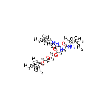 CC(C)(C)CCNC(=O)CN(CCOCCOCCOCCC(C)(C)C)CC(=O)NCCC(C)(C)C